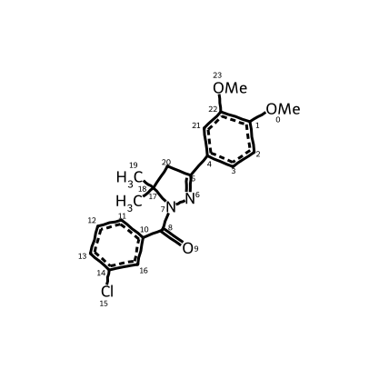 COc1ccc(C2=NN(C(=O)c3cccc(Cl)c3)C(C)(C)C2)cc1OC